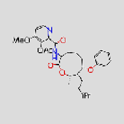 COc1ccnc(C(=O)N[C@H]2CCC[C@H](Oc3ccccc3)[C@@H](CCC(C)C)[C@H](C)OC2=O)c1OC(C)=O